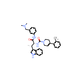 C[C@@H](c1c[nH]c2ccccc12)[C@@H](NC(=O)N1CC=C(c2ccccc2C(F)(F)F)CC1)C(=O)Nc1cccc(CN(C)C)c1